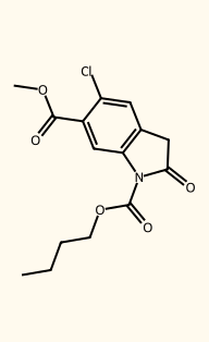 CCCCOC(=O)N1C(=O)Cc2cc(Cl)c(C(=O)OC)cc21